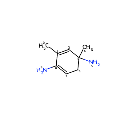 CC1=CC(C)(N)CC=C1N